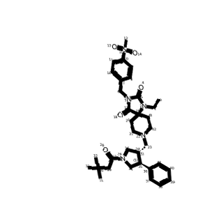 CCN1C(=O)N(Cc2ccc(S(C)(=O)=O)cc2)C(=O)C12CCN(C[C@H]1CN(C(=O)CC(C)(C)C)C[C@@H]1c1ccccc1)CC2